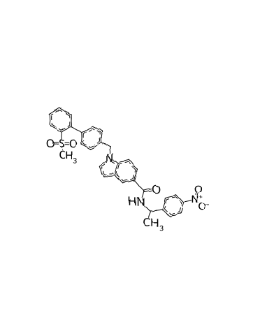 CC(NC(=O)c1ccc2c(ccn2Cc2ccc(-c3ccccc3S(C)(=O)=O)cc2)c1)c1ccc([N+](=O)[O-])cc1